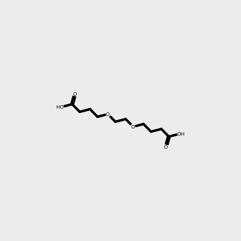 O=C(O)CCCOCCOCCCC(=O)O